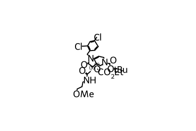 CCOC(=O)O[C@@]12CN(C(=O)OC(C)(C)C)CC=C1N(Cc1ccc(Cl)cc1Cl)C(=O)[C@H]2CC(=O)NCCCOC